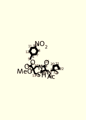 COC1(C(=O)OCc2ccc([N+](=O)[O-])cc2)CS[C@@H]2C(N(C(C)=O)c3cccs3)C(=O)N2C1